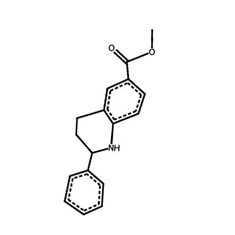 COC(=O)c1ccc2c(c1)CCC(c1ccccc1)N2